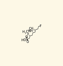 CNC.O=S(=O)(O)CC(F)CCCCCCF